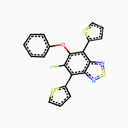 Fc1c(Oc2ccccc2)c(-c2cccs2)c2nsnc2c1-c1cccs1